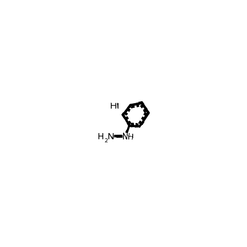 I.NNc1ccccc1